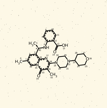 Cc1cc([C@@H](C)Nc2ccccc2C(=O)O)c2nc(N3CCN(C4CCOCC4)CC3)c(C)c(=O)n2c1